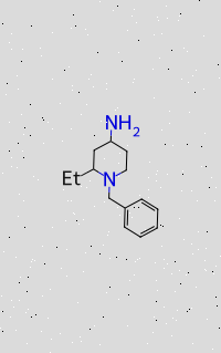 CCC1CC(N)CCN1Cc1ccccc1